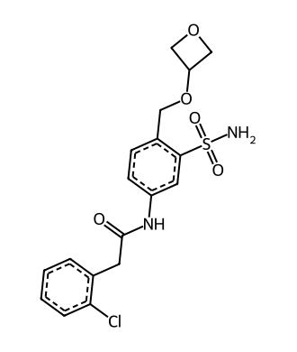 NS(=O)(=O)c1cc(NC(=O)Cc2ccccc2Cl)ccc1COC1COC1